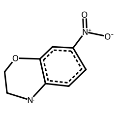 O=[N+]([O-])c1ccc2c(c1)OCC[N]2